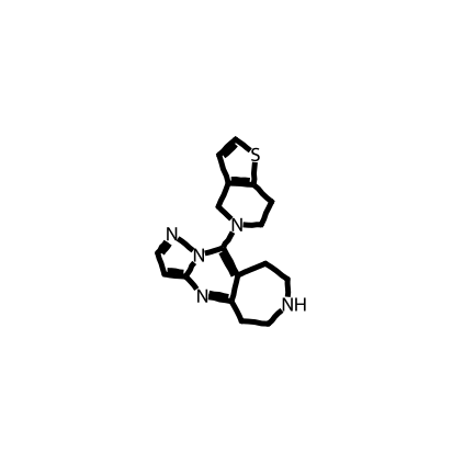 c1cc2nc3c(c(N4CCc5sccc5C4)n2n1)CCNCC3